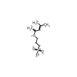 C=C(C=C(C)C)OCCCS(=O)(=O)CC